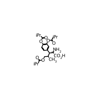 CC(C)C(=O)OCC(C)C(c1ccc(OC(=O)C(C)C)c(OC(=O)C(C)C)c1)[C@H](N)C(=O)O